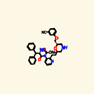 COC(=O)N(C(=O)[C@@H](N)C(c1ccccc1)c1ccccc1)c1cccnc1CC[C@@H]1CNC[C@@H](COc2cccc(C#N)c2)O1